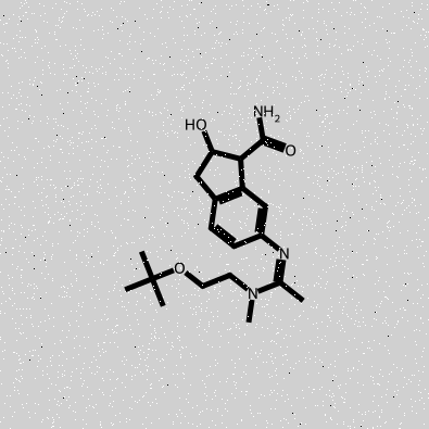 CC(=Nc1ccc2c(c1)C(C(N)=O)C(O)C2)N(C)CCOC(C)(C)C